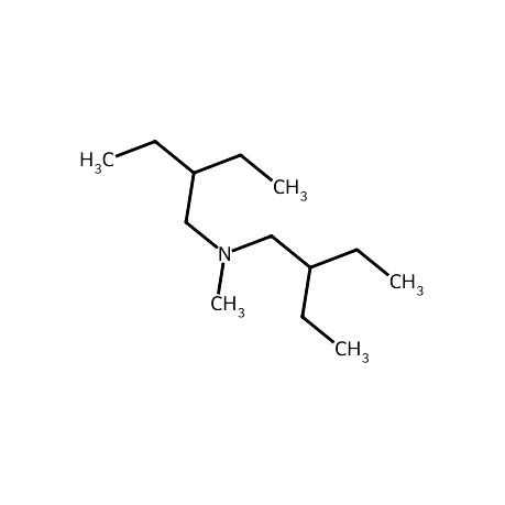 CCC(CC)CN(C)CC(CC)CC